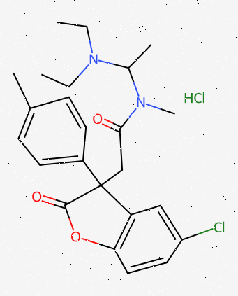 CCN(CC)C(C)N(C)C(=O)CC1(c2ccc(C)cc2)C(=O)Oc2ccc(Cl)cc21.Cl